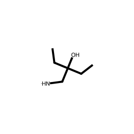 CCC(O)(CC)C[NH]